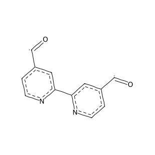 O=[C]c1ccnc(-c2cc([C]=O)ccn2)c1